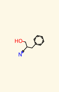 N#CC(CO)Cc1ccccc1